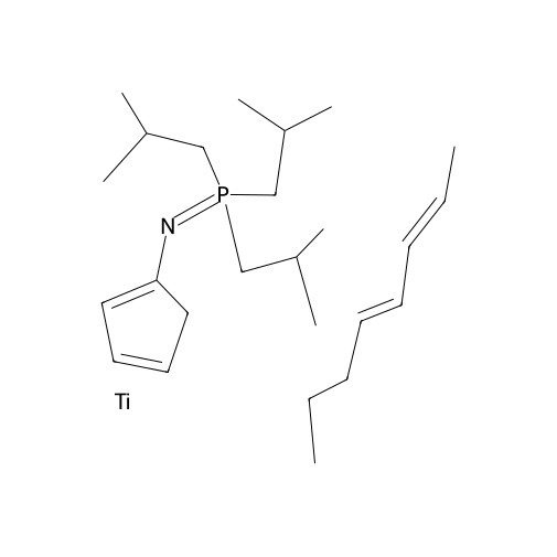 CC(C)CP(CC(C)C)(CC(C)C)=NC1=CC=CC1.CC=CC=CCCC.[Ti]